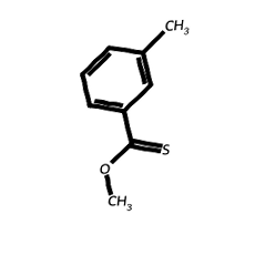 COC(=S)c1cccc(C)c1